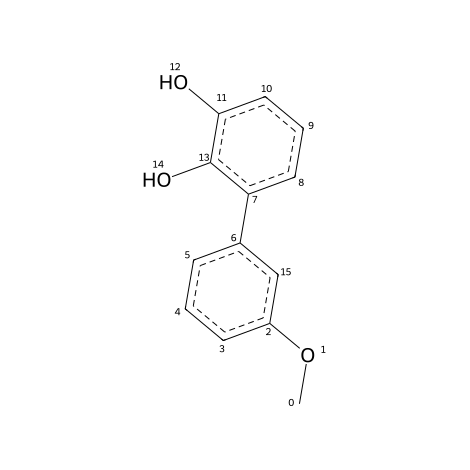 COc1cccc(-c2cccc(O)c2O)c1